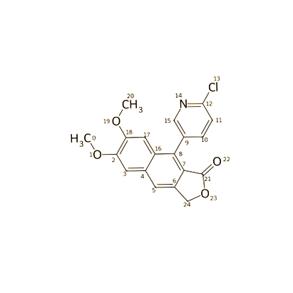 COc1cc2cc3c(c(-c4ccc(Cl)nc4)c2cc1OC)C(=O)OC3